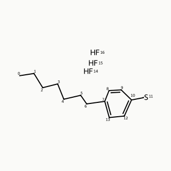 CCCCCCCc1ccc([S])cc1.F.F.F